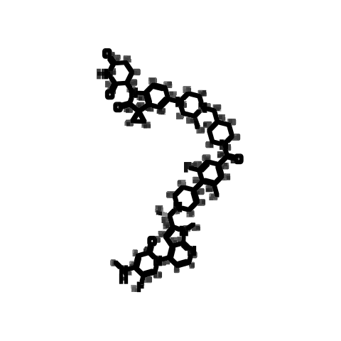 CNc1cc(=O)n(-c2ccnc3c2cc([C@H](C)N2CC=C(c4c(C)cc(C(=O)N5CCC(CN6CCN(c7ccc8c(c7)C7(CC7)C(=O)N8C7CCC(=O)NC7=O)C[C@@H]6C)CC5)cc4F)CC2)n3C)cc1F